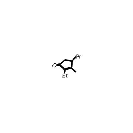 CCC1=C(C)C(C(C)C)CC1=O